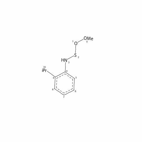 COOSNc1ccccc1C(C)C